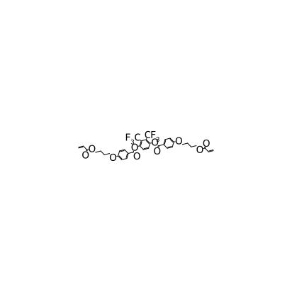 C=CC(=O)OCCCCOc1ccc(C(=O)Oc2ccc(OC(=O)c3ccc(OCCCCOC(=O)C=C)cc3)c(C(F)(F)F)c2C(F)(F)F)cc1